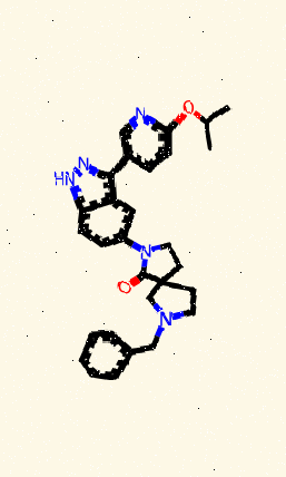 CC(C)Oc1ccc(-c2n[nH]c3ccc(N4CCC5(CCN(Cc6ccccc6)C5)C4=O)cc23)cn1